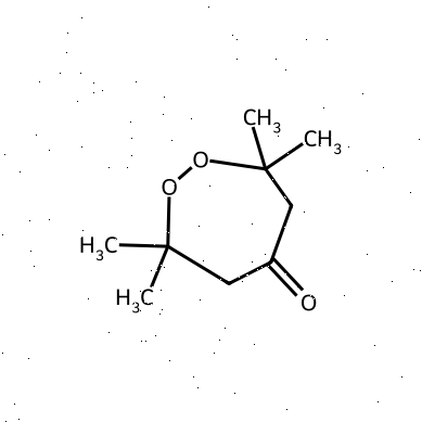 CC1(C)CC(=O)CC(C)(C)OO1